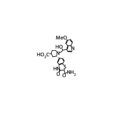 COc1ccc2nccc(C(O)CN3CCC(C(=O)O)C[C@H]3c3ccc4c(c3)NC(=O)C(C(N)=O)S4)c2c1